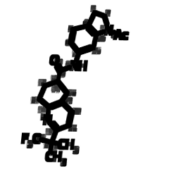 CC(=O)N1CCc2ccc(NC(=O)[C@@H]3CCc4nc(C(C)(C)C(F)(F)F)ccc4C3)cc21